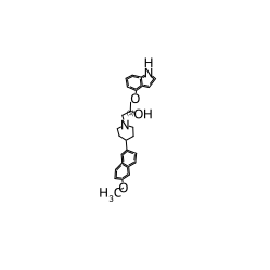 COc1ccc2cc(C3CCN(C[C@H](O)COc4cccc5[nH]ccc45)CC3)ccc2c1